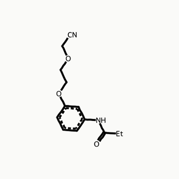 CCC(=O)Nc1cccc(OCCOCC#N)c1